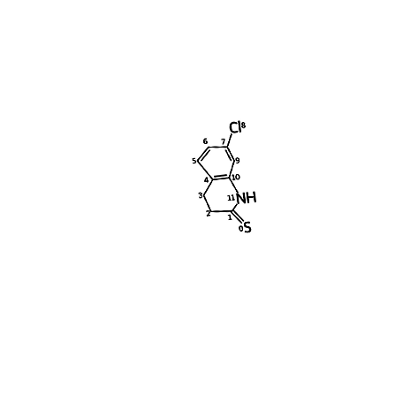 S=C1CCc2ccc(Cl)cc2N1